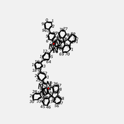 c1ccc(-c2ccc(-c3nc(-c4ccc(-c5cccc(-c6ccc(-c7nc(-c8ccccc8)nc(-c8cccc9c8C(c8ccccc8)(c8ccccc8)c8ccccc8-9)n7)cc6)c5)cc4)nc(-c4cccc5c4C(c4ccccc4)(c4ccccc4)c4ccccc4-5)n3)cc2)cc1